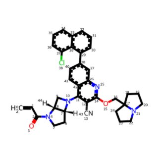 C=CC(=O)N1CC[C@@H]2[C@H]1CN2c1c(C#N)c(OCC23CCCN2CCC3)nc2cc(-c3cccc4cccc(Cl)c34)ccc12